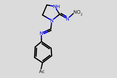 CC(=O)c1ccc(N=CN2CCNC2=N[N+](=O)[O-])cc1